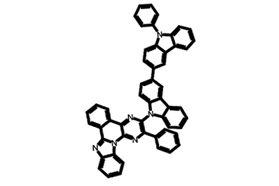 c1ccc(-c2nc3c(nc2-n2c4ccccc4c4cc(-c5ccc6c(c5)c5ccccc5n6-c5ccccc5)ccc42)c2ccccc2c2nc4ccccc4n23)cc1